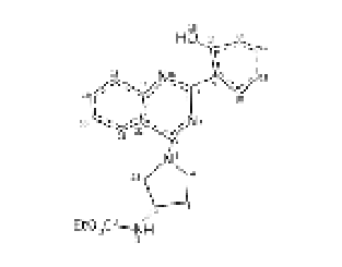 CCOC(=O)N[C@H]1CCN(c2nc(-c3ccccc3O)nc3ccccc23)C1